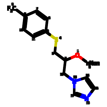 CCCCCCCCCOC(CSc1ccc(C(F)(F)F)cc1)Cn1ccnc1